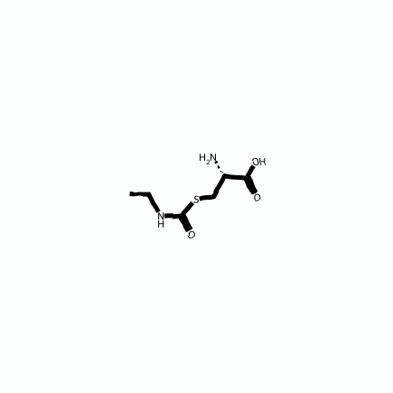 CCNC(=O)SC[C@H](N)C(=O)O